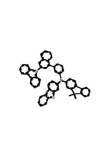 CC1(C)c2ccccc2-c2ccc(N(c3cccc(-c4cc(-n5c6ccccc6c6ccccc65)cc5ccccc45)c3)c3ccc4c(c3)sc3ccccc34)cc21